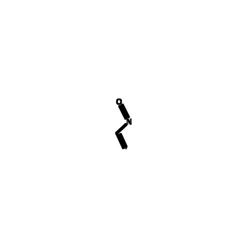 [CH]=CN=O